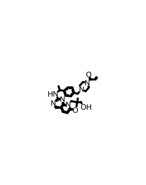 C=CC(=O)N1CCN(Cc2ccc(C(C)Nc3ncc4ccc(=O)n(CC(C)(C)CO)c4n3)cc2)CC1